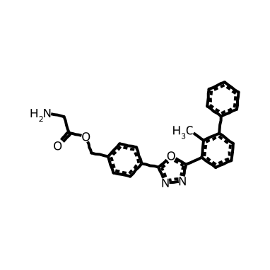 Cc1c(-c2ccccc2)cccc1-c1nnc(-c2ccc(COC(=O)CN)cc2)o1